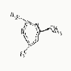 Cc1cc(C(F)(F)F)nc(C)n1